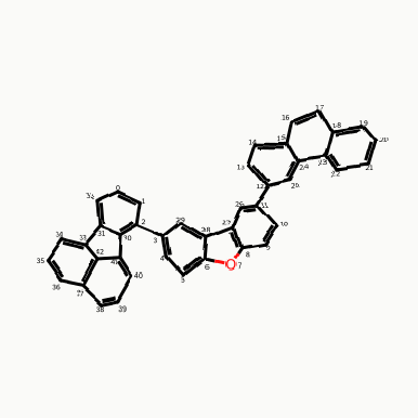 c1cc(-c2ccc3oc4ccc(-c5ccc6ccc7ccccc7c6c5)cc4c3c2)c2c(c1)-c1cccc3cccc-2c13